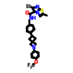 CCc1nc2sc(C)cn2c1C(=O)NCc1ccc(C2CC3(C2)CN(c2ccc(OC(F)(F)F)cc2)C3)cc1